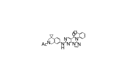 CC(=O)N1Cc2cc(Nc3ncc4c(=O)n(-c5ccccc5Cl)c5nccn5c4n3)ccc2C2(CC2)C1